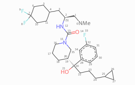 CNC[C@H](CC1CCC(F)(F)CC1)NC(=O)N1CCC[C@@H](C(O)(CCCC2CC2)c2cccc(F)c2)C1